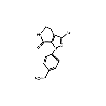 CC(=O)c1nn(-c2ccc(CO)cc2)c2c1CCNC2=O